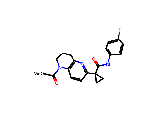 COC(=O)N1CCCc2nc(C3(C(=O)Nc4ccc(F)cc4)CC3)ccc21